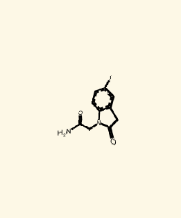 NC(=O)CN1C(=O)Cc2cc(I)ccc21